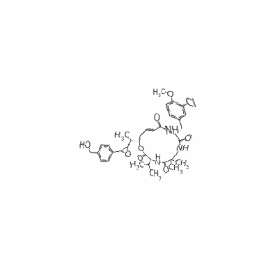 COc1ccc(C[C@H]2NC(=O)/C=C/C[C@@H](C(C)C3OC3c3ccc(CO)cc3)OC(=O)[C@H](C(C)C)NC(=O)C(C)(C)CNC2=O)cc1Cl